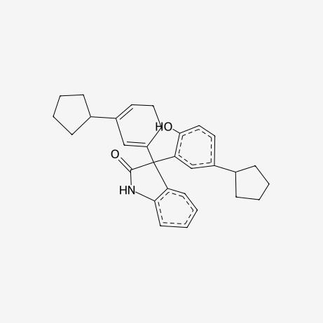 O=C1Nc2ccccc2C1(C1=CC(C2CCCC2)=CCC1)c1cc(C2CCCC2)ccc1O